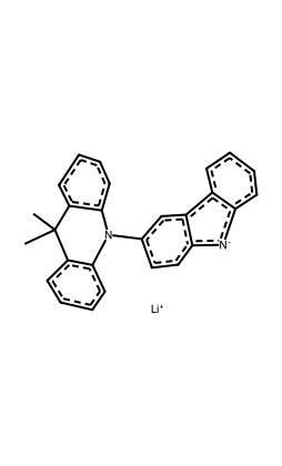 CC1(C)c2ccccc2N(c2ccc3[n-]c4ccccc4c3c2)c2ccccc21.[Li+]